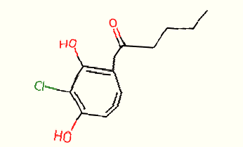 CCCCC(=O)c1ccc(O)c(Cl)c1O